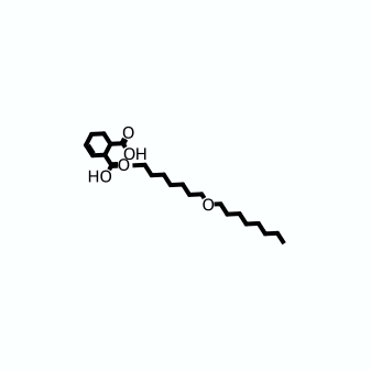 CCCCCCCCOCCCCCCCC.O=C(O)C1C=CCCC1C(=O)O